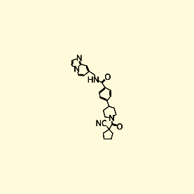 N#CC1(C(=O)N2CCC(c3ccc(C(=O)NCc4ccn5ccnc5c4)cc3)CC2)CCCC1